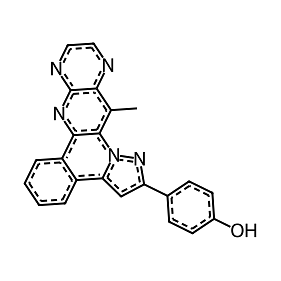 Cc1c2nccnc2nc2c3ccccc3c3cc(-c4ccc(O)cc4)nn3c12